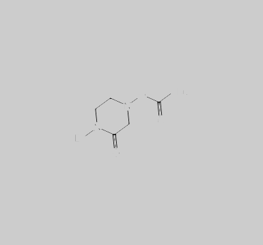 CCN1CCN(OC(=O)C(C)(C)C)CC1=O